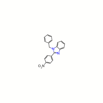 O=[N+]([O-])c1ccc(-c2nc3ccccc3n2Cc2ccccc2)cc1